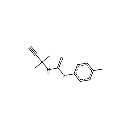 C#CC(C)(C)NC(=O)Sc1ccc(C)cc1